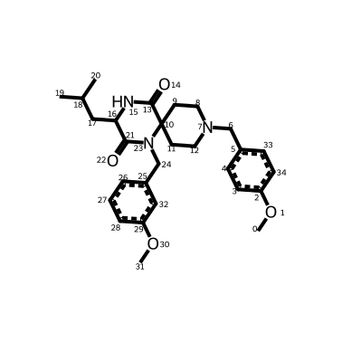 COc1ccc(CN2CCC3(CC2)C(=O)NC(CC(C)C)C(=O)N3Cc2cccc(OC)c2)cc1